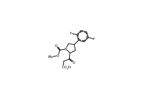 CCOC(=O)CC(=O)C1CC(c2cc(F)ccc2F)CN1C(=O)OC(C)(C)C